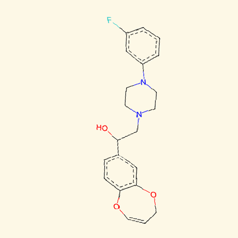 OC(CN1CCN(c2cccc(F)c2)CC1)c1ccc2c(c1)OCC=CO2